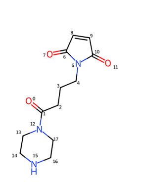 O=C(CCCN1C(=O)C=CC1=O)N1CCNCC1